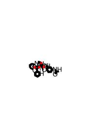 CC(=O)Nc1ccc2oc(-c3ccnc(C(=O)N4C5CC4CN(C(C4=NN(C)NN4)c4ccccc4)C5)c3)nc2c1